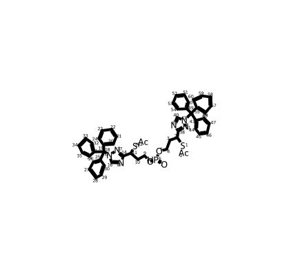 CC(=O)SC(CCO[PH](=O)OCCC(SC(C)=O)c1ncn(C(c2ccccc2)(c2ccccc2)c2ccccc2)n1)c1ncn(C(c2ccccc2)(c2ccccc2)c2ccccc2)n1